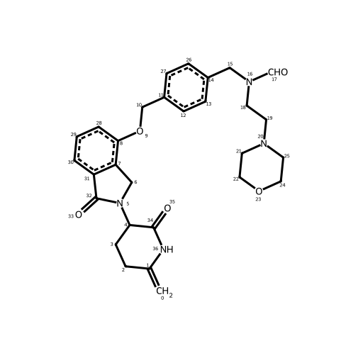 C=C1CCC(N2Cc3c(OCc4ccc(CN(C=O)CCN5CCOCC5)cc4)cccc3C2=O)C(=O)N1